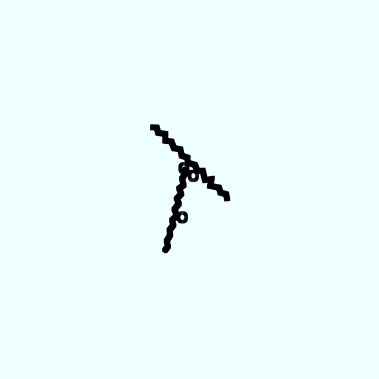 CCCCCCCCCCC(CCCCCCCCCC)OC(=O)CCCCCCCC(=O)CCCCCCC